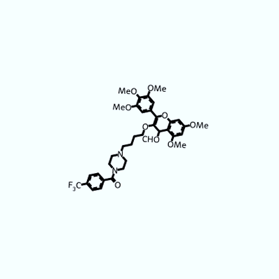 COc1cc(OC)c2c(c1)OC(c1cc(OC)c(OC)c(OC)c1)=C(OCCCCN1CCN(C(=O)c3ccc(C(F)(F)F)cc3)CC1)C2C=O